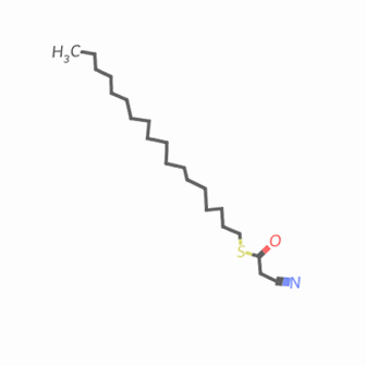 CCCCCCCCCCCCCCCCCCSC(=O)CC#N